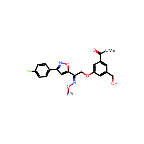 CCCON=C(COc1cc(CO)cc(C(=O)OC)c1)c1cc(-c2ccc(F)cc2)no1